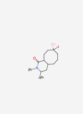 BC1(I)CCCC2CC(CCC)N(C(C)C)C(=O)C2CC1